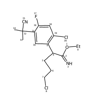 CCOC(=N)C(CCCCl)c1cc(C(C)(C)C#N)c(F)cc1Cl